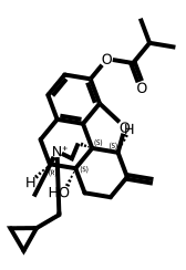 C=C1CC[C@@]2(O)[C@H]3Cc4ccc(OC(=O)C(C)C)c5c4[C@@]2(CC[N+]3(C)CC2CC2)[C@H]1O5